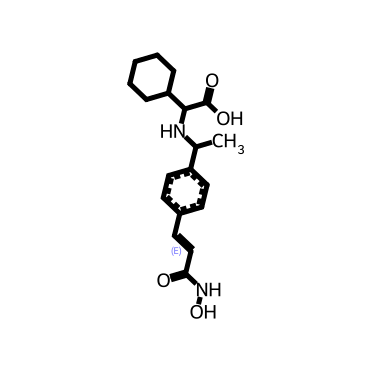 CC(NC(C(=O)O)C1CCCCC1)c1ccc(/C=C/C(=O)NO)cc1